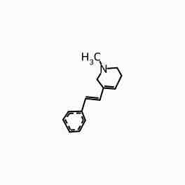 CN1CCC=C(C=Cc2ccccc2)C1